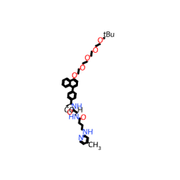 Cc1ccnc(NCCCC(=O)NCC(=O)N[C@@H](CC(=O)O)c2ccc(-c3ccc(OCCOCCOCCOCCOCC(C)(C)C)c4ccccc34)cc2)c1